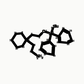 CC(C)(C)[Si](OCCC1(CCN)CCCCC1)(c1ccccc1)c1ccccc1